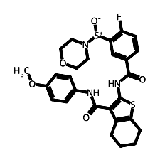 COc1ccc(NC(=O)c2c(NC(=O)c3ccc(F)c([S+]([O-])N4CCOCC4)c3)sc3c2CCCC3)cc1